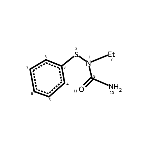 CCN(Sc1ccccc1)C(N)=O